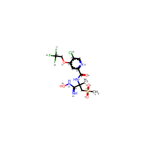 CC(CS(C)(=O)=O)(NC(=O)c1cc(OCC(F)(F)F)c(Cl)cn1)C(=N)NO